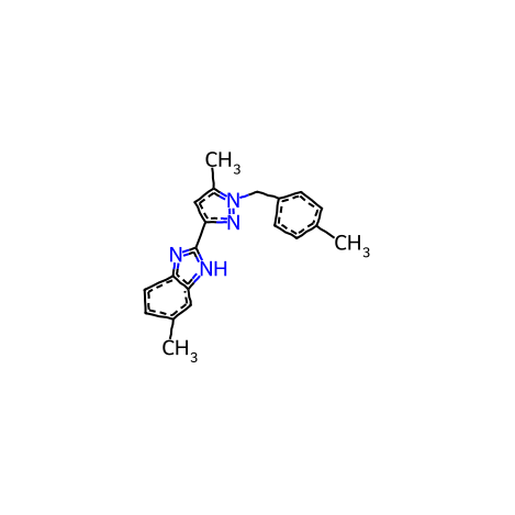 Cc1ccc(Cn2nc(-c3nc4ccc(C)cc4[nH]3)cc2C)cc1